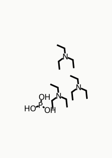 CCN(CC)CC.CCN(CC)CC.CCN(CC)CC.OP(O)O